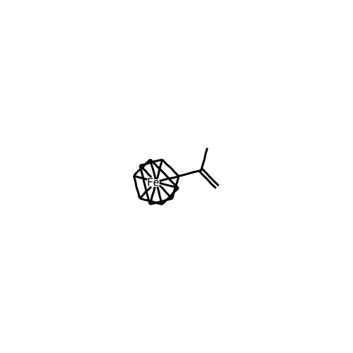 C=C(C)[C]12[CH]3[CH]4[CH]5[CH]1[Fe]45321678[CH]2[CH]1[CH]6[CH]7[CH]28